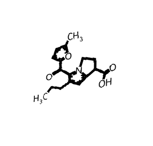 CCCc1cc2n(c1C(=O)c1ccc(C)o1)CCC2C(=O)O